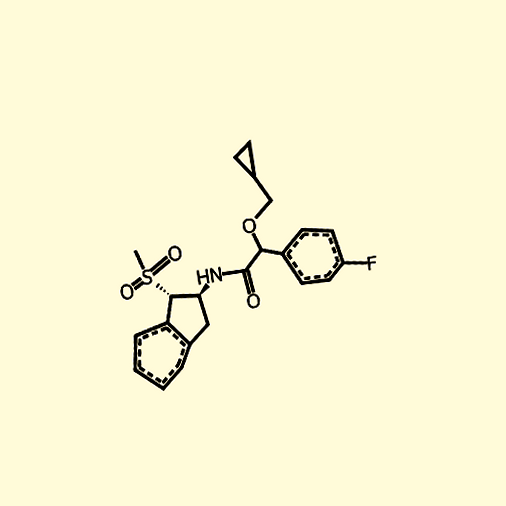 CS(=O)(=O)[C@H]1c2ccccc2C[C@@H]1NC(=O)C(OCC1CC1)c1ccc(F)cc1